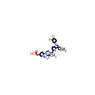 CCC1(CC)CN(c2ccc(Cl)c(F)c2)c2ccc(C(=O)N3CCN(c4ccc(CC(=O)O)cn4)CC3(C)C)nc21